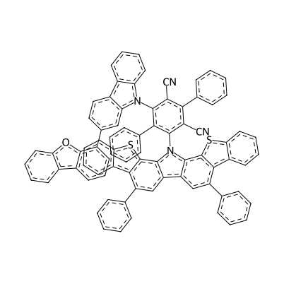 N#Cc1c(-c2ccccc2)c(C#N)c(-n2c3c(cc(-c4ccccc4)c4c5ccccc5sc43)c3cc(-c4ccccc4)c4c5ccccc5sc4c32)c(-c2ccccc2)c1-n1c2ccccc2c2ccc(-c3cccc4c3oc3ccccc34)cc21